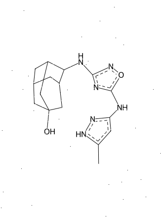 Cc1cc(Nc2nc(NC3C4CC5CC3CC(O)(C5)C4)no2)n[nH]1